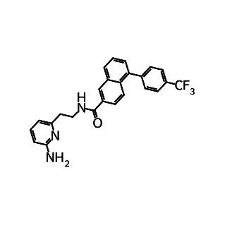 Nc1cccc(CCNC(=O)c2ccc3c(-c4ccc(C(F)(F)F)cc4)cccc3c2)n1